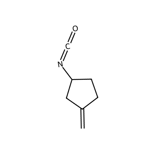 C=C1CCC(N=C=O)C1